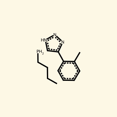 CCCCP.Cc1ccccc1-c1c[nH]nn1